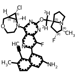 [2H]C([2H])(Oc1nc(N2CCOC[C@H]3[C@H](Cl)[C@H]32)c2cnc(-c3cc(N)cc4ccc(C)c(C#C)c34)c(F)c2n1)[C@@]12CCCN1[C@H](C)[C@H](F)C2